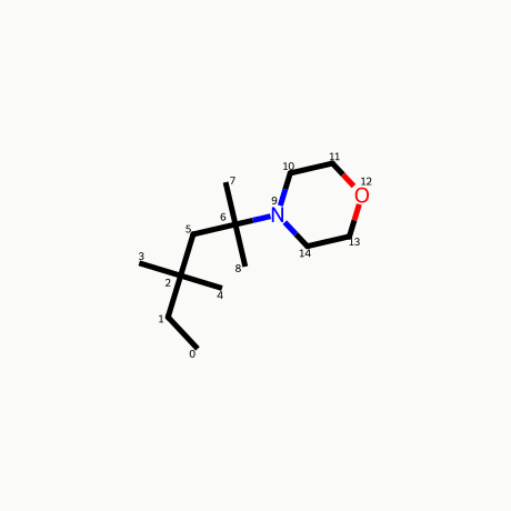 CCC(C)(C)CC(C)(C)N1CCOCC1